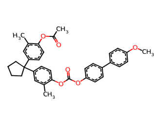 COc1ccc(-c2ccc(OC(=O)Oc3ccc(C4(c5ccc(OC(C)=O)c(C)c5)CCCC4)cc3C)cc2)cc1